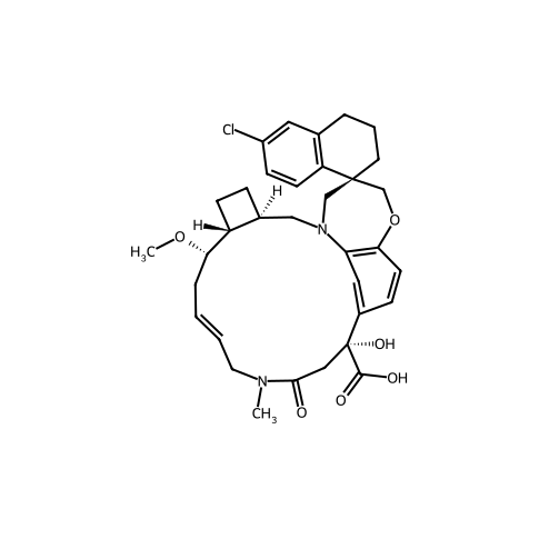 CO[C@H]1C/C=C/CN(C)C(=O)C[C@](O)(C(=O)O)c2ccc3c(c2)N(C[C@@H]2CC[C@H]21)C[C@@]1(CCCc2cc(Cl)ccc21)CO3